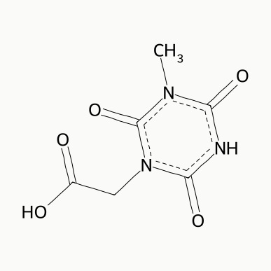 Cn1c(=O)[nH]c(=O)n(CC(=O)O)c1=O